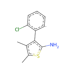 Cc1sc(N)c(-c2[c]cccc2Cl)c1C